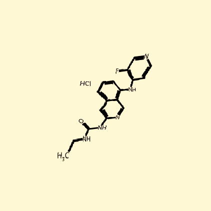 CCNC(=O)Nc1cc2cccc(Nc3ccncc3F)c2cn1.Cl